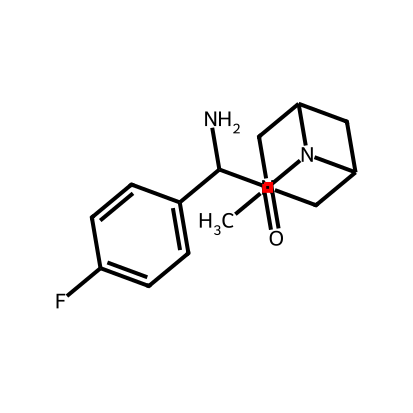 CN1CC2CC(C1)N2C(=O)C(N)c1ccc(F)cc1